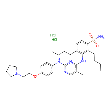 CCCCc1ccc(S(N)(=O)=O)c(CCCC)c1Nc1nc(Nc2ccc(OCCN3CCCC3)cc2)ncc1C.Cl.Cl